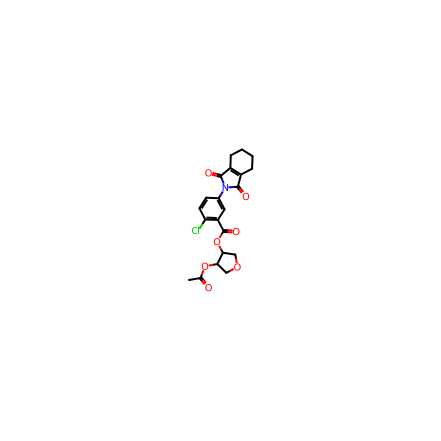 CC(=O)OC1COCC1OC(=O)c1cc(N2C(=O)C3=C(CCCC3)C2=O)ccc1Cl